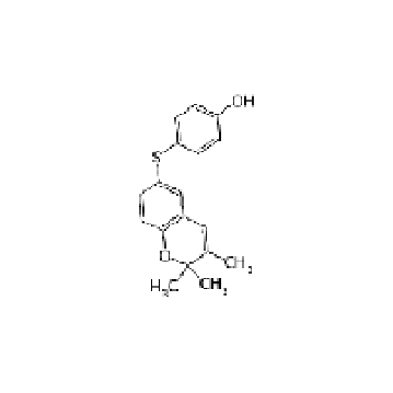 CC1=Cc2cc(Sc3ccc(O)cc3)ccc2OC1(C)C